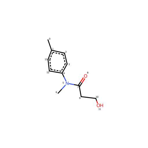 Cc1ccc(N(C)C(=O)CCO)cc1